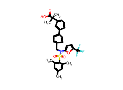 Cc1cc(C)c(S(=O)(=O)N(Cc2ccc(-c3cccc(C(C)(C)C(=O)O)c3)cc2)c2ccc(C(F)(F)F)o2)c(C)c1